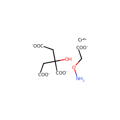 NOCC(=O)[O-].O=C([O-])CC(O)(CC(=O)[O-])C(=O)[O-].[Cr+4]